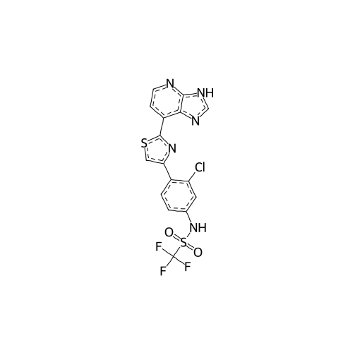 O=S(=O)(Nc1ccc(-c2csc(-c3ccnc4[nH]cnc34)n2)c(Cl)c1)C(F)(F)F